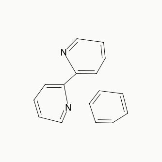 c1ccc(-c2ccccn2)nc1.c1ccccc1